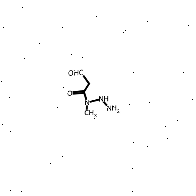 CN(NN)C(=O)CC=O